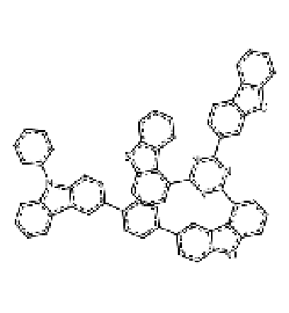 c1ccc(-n2c3ccccc3c3cc(-c4ccc(-c5ccc6oc7cccc(-c8nc(-c9ccc%10c(c9)oc9ccccc9%10)nc(-c9cccc%10sc%11ccccc%11c9%10)n8)c7c6c5)cc4)ccc32)cc1